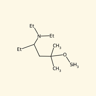 CCC(CC(C)(C)O[SiH3])N(CC)CC